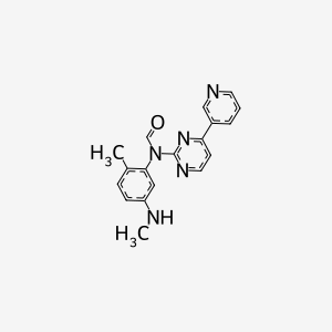 CNc1ccc(C)c(N(C=O)c2nccc(-c3cccnc3)n2)c1